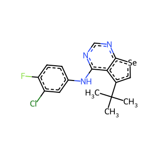 CC(C)(C)c1c[se]c2ncnc(Nc3ccc(F)c(Cl)c3)c12